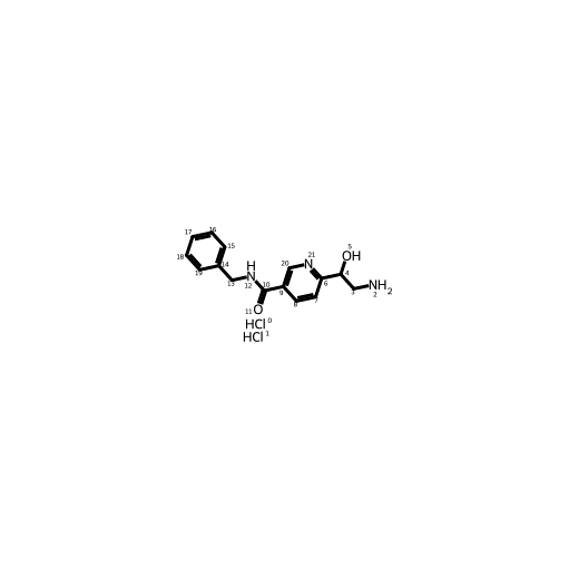 Cl.Cl.NCC(O)c1ccc(C(=O)NCc2ccccc2)cn1